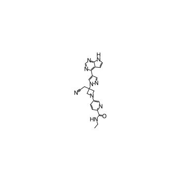 CCNC(=O)c1ccc(N2CC(CC#N)(n3cc(-c4ncnc5[nH]ccc45)cn3)C2)cn1